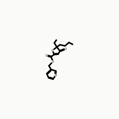 CCCCC1(CC)OC(C(=O)OCc2cccnc2)=CC1=O